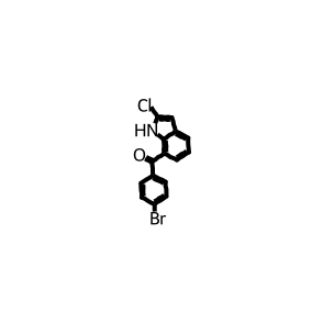 O=C(c1ccc(Br)cc1)c1cccc2cc(Cl)[nH]c12